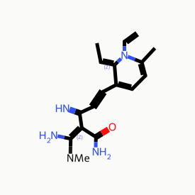 C=CN1C(C)=CC=C(C#CC(=N)/C(C(N)=O)=C(\N)NC)/C1=C/C